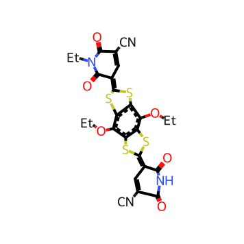 [C-]#[N+]C1=CC(=C2Sc3c(OCC)c4c(c(OCC)c3S2)SC(=C2C=C(C#N)C(=O)N(CC)C2=O)S4)C(=O)NC1=O